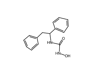 O=C(NO)NC(Cc1ccccc1)c1ccccc1